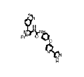 CC(C)n1cc(NC(=O)Nc2ccc(Oc3ccnc(-c4cn[nH]c4)c3)cc2)c(-c2ccc3scnc3c2)n1